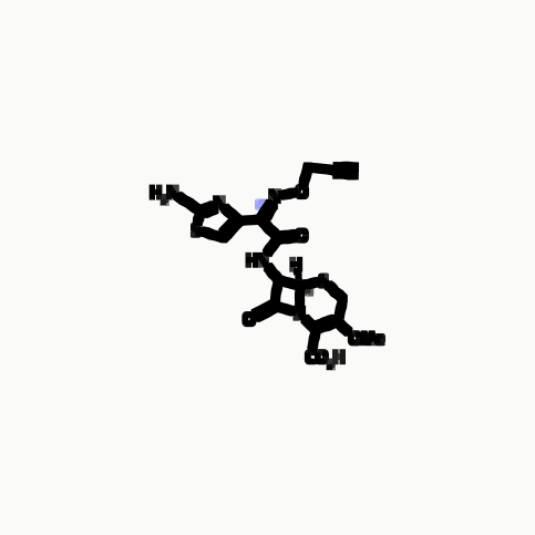 C#CCO/N=C(\C(=O)NC1C(=O)N2C(C(=O)O)=C(OC)CS[C@H]12)c1csc(N)n1